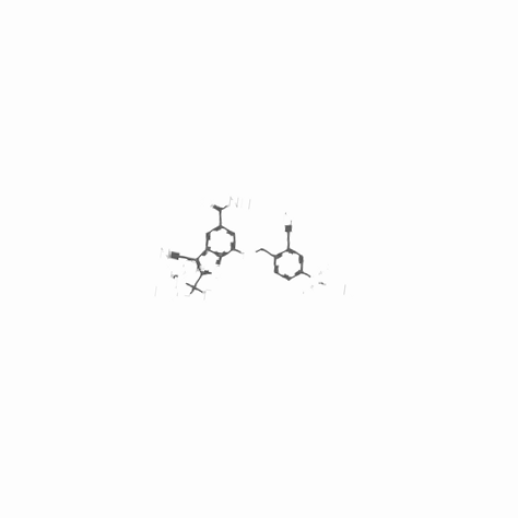 CS(=O)(=O)c1ccc(COc2cc(C(N)=O)cc3c(C#N)c(C(F)(F)P(=O)(O)O)sc23)c(C#N)c1